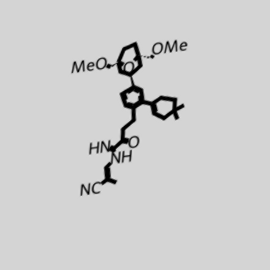 COC[C@@]12CC[C@@](COC)(C[C@@H](c3ccc(CCC(=O)C(=N)N/C=C(\C)C#N)c(C4=CCC(C)(C)CC4)c3)C1)O2